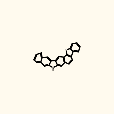 c1ccc2cc3c(cc2c1)[nH]c1cc2ccc4c5ccccc5sc4c2cc13